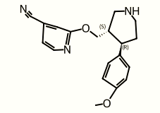 COc1ccc([C@@H]2CCNC[C@H]2COc2cc(C#N)ccn2)cc1